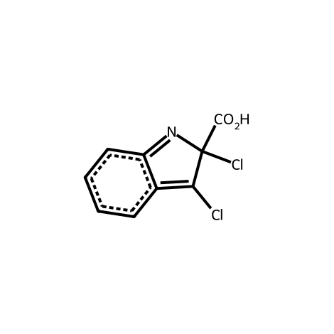 O=C(O)C1(Cl)N=c2ccccc2=C1Cl